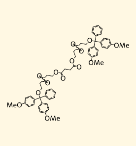 COc1ccc(C(OCCS(=O)(=O)CCOC(=O)CCC(=O)OCCS(=O)(=O)CCOC(c2ccccc2)(c2ccc(OC)cc2)c2ccc(OC)cc2)(c2ccccc2)c2ccc(OC)cc2)cc1